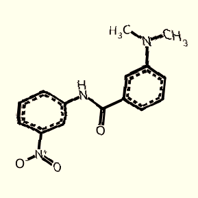 CN(C)c1cccc(C(=O)Nc2cccc([N+](=O)[O-])c2)c1